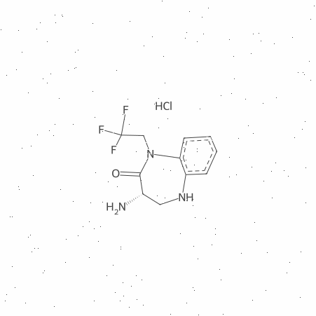 Cl.N[C@H]1CNc2ccccc2N(CC(F)(F)F)C1=O